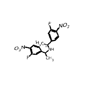 CC(N[C@@H](C)c1ccc([N+](=O)[O-])c(F)c1)c1ccc([N+](=O)[O-])c(F)c1